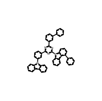 c1ccc(-c2cccc(-c3nc(-c4cccc(-n5c6ccccc6c6ccccc65)c4)nc(-n4c5ccccc5c5c(-c6ccccc6)cccc54)n3)c2)cc1